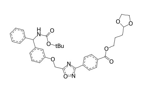 CC(C)(C)OC(=O)NC(c1ccccc1)c1cccc(OCc2nc(-c3ccc(C(=O)OCCCC4OCCO4)cc3)no2)c1